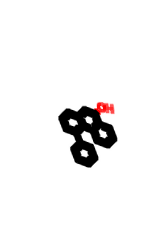 Oc1cc2cccc(-c3ccccc3)c2c2ccccc12